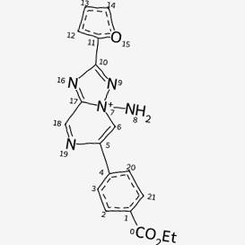 CCOC(=O)c1ccc(C2=C[N+]3(N)N=C(c4ccco4)N=C3C=N2)cc1